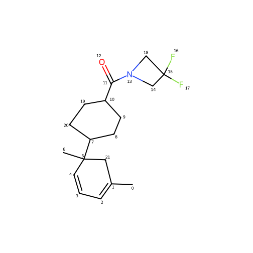 CC1=CC=CC(C)(C2CCC(C(=O)N3CC(F)(F)C3)CC2)C1